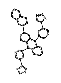 c1ccc2cc(-c3ccc4c(-c5cncc(-c6cncs6)c5)c5ccccc5c(-c5cncc(-c6cncs6)c5)c4c3)ccc2c1